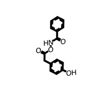 O=C(Cc1ccc(O)cc1)ONC(=O)c1ccccc1